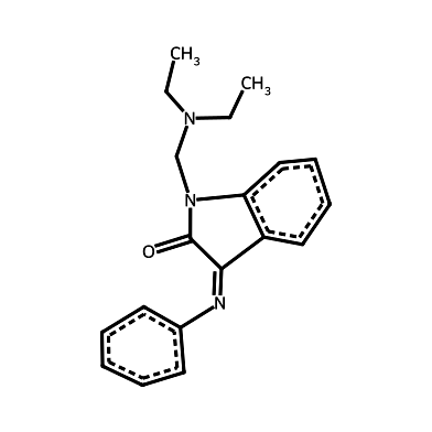 CCN(CC)CN1C(=O)/C(=N\c2ccccc2)c2ccccc21